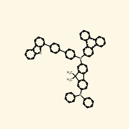 CC1(C)c2cc(N(c3ccccc3)c3ccccc3)ccc2-c2ccc(N(c3ccc(-c4ccc(-c5cccc6c5sc5ccccc56)cc4)cc3)c3ccc4c5ccccc5c5ccccc5c4c3)cc21